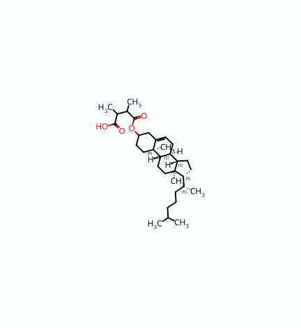 CC(C)CCC[C@@H](C)[C@H]1CC[C@H]2[C@@H]3CC=C4CC(OC(=O)C(C)C(C)C(=O)O)CC[C@]4(C)[C@H]3CC[C@]12C